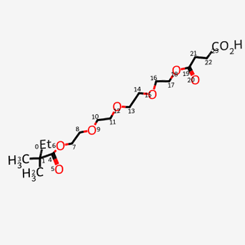 CCC(C)(C)C(=O)OCCOCCOCCOCCOC(=O)CCC(=O)O